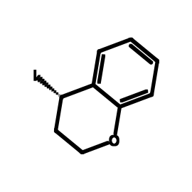 I[C@H]1CCOc2ccccc21